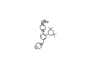 CCCCN1CCN(c2ccc(CN3CCOCC3)cc2C2CC(C)(C)CC(C)(C)C2)CC1